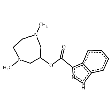 CN1CCN(C)CC(OC(=O)c2n[nH]c3ccccc23)C1